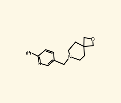 CC(C)c1ccc(CN2CCC3(CC2)COC3)cn1